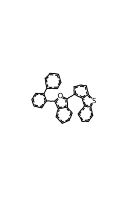 c1ccc(-c2ccccc2-c2oc(-c3cccc4sc5ccccc5c34)c3ccccc23)cc1